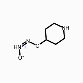 [O-]/[NH+]=N\OC1CCNCC1